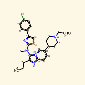 CN(c1nc(-c2ccc(F)cc2)cs1)c1c(CCC#N)nc2ccc(C3CCN(CC=O)CC3)cn12